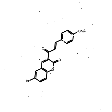 COc1ccc(C=CC(=O)c2cc3cc(Br)ccc3sc2=O)cc1